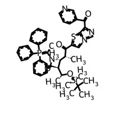 CC(N1C(=O)[C@H]([C@@H](C)O[Si](C)(C)C(C)(C)C)[C@H]1[C@@H](C)C(=O)c1cn2cnc(C(=O)c3cccnc3)c2s1)=P(c1ccccc1)(c1ccccc1)c1ccccc1